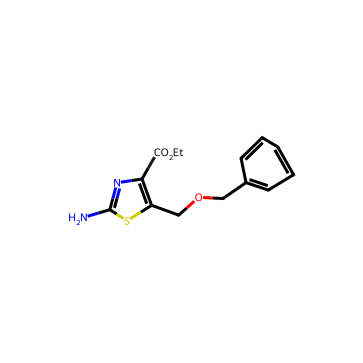 CCOC(=O)c1nc(N)sc1COCc1ccccc1